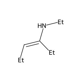 CC/C=C(\CC)NCC